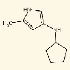 Cc1cc(NC2CCCC2)c[nH]1